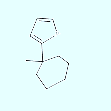 CC1(C2=CC=C[P]2)CCCCC1